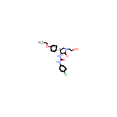 CCOc1ccc([C@@H]2CN(CCO)C(=O)[C@H]2NC(=O)Nc2ccc(Cl)cc2)cc1